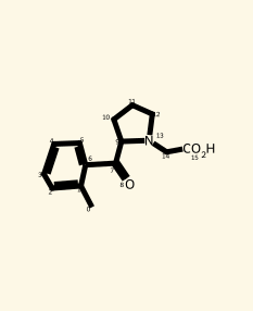 Cc1ccccc1C(=O)C1CCCN1CC(=O)O